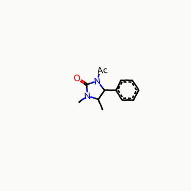 CC(=O)N1C(=O)N(C)C(C)C1c1ccccc1